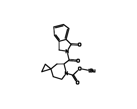 CC(C)(C)OC(=O)N1CCC2(CC2)CC1C(=O)N1Cc2ccccc2C1=O